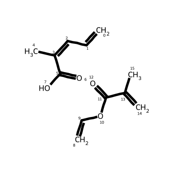 C=CC=C(C)C(=O)O.C=COC(=O)C(=C)C